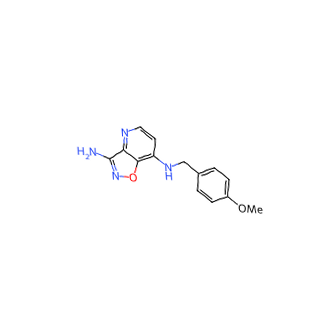 COc1ccc(CNc2ccnc3c(N)noc23)cc1